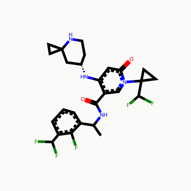 CC(NC(=O)c1cn(C2(C(F)F)CC2)c(=O)cc1N[C@H]1CCNC2(CC2)C1)c1cccc(C(F)F)c1F